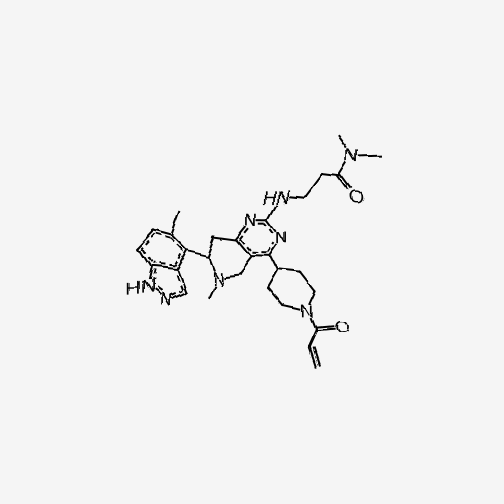 C=CC(=O)N1CCC(c2nc(NCCC(=O)N(C)C)nc3c2CN(C)C(c2c(C)ccc4[nH]ncc24)C3)CC1